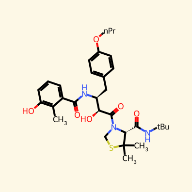 CCCOc1ccc(C[C@H](NC(=O)c2cccc(O)c2C)[C@H](O)C(=O)N2CSC(C)(C)[C@H]2C(=O)NC(C)(C)C)cc1